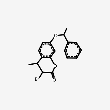 CC(Oc1ccc2c(c1)OC(=O)C(Br)C2C)c1ccccc1